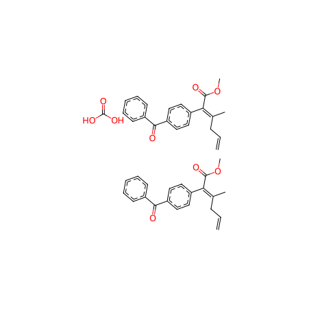 C=CCC(C)=C(C(=O)OC)c1ccc(C(=O)c2ccccc2)cc1.C=CCC(C)=C(C(=O)OC)c1ccc(C(=O)c2ccccc2)cc1.O=C(O)O